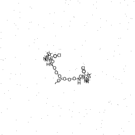 C=CCOCC(C)(COCCOCCOCCNC(=O)C[C@@H]1N=C(c2ccc(Cl)cc2)c2c(sc(C)c2C)-n2c(C)nnc21)COCCOCCOCCNC(=O)C[C@@H]1N=C(c2ccc(Cl)cc2)c2c(sc(C)c2C)-n2c(C)nnc21